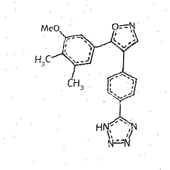 COc1cc(-c2oncc2-c2ccc(-c3nnn[nH]3)cc2)cc(C)c1C